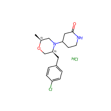 C[C@H]1CN(C2CCNC(=O)C2)[C@@H](Cc2ccc(Cl)cc2)CO1.Cl